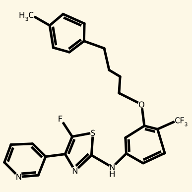 Cc1ccc(CCCCOc2cc(Nc3nc(-c4cccnc4)c(F)s3)ccc2C(F)(F)F)cc1